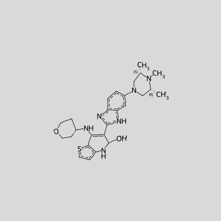 C[C@@H]1CN(c2ccc3nc(C4=C(NC5CCOCC5)c5sccc5NC4O)[nH]c3c2)C[C@H](C)N1C